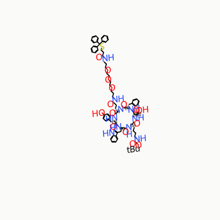 C[C@@H](O)[C@@H]1NC(=O)[C@H](CCCCNC(=O)OC(C)(C)C)NC(=O)[C@@H](Cc2c[nH]c3ccccc23)NC(=O)[C@H](Cc2ccc(O)cc2)NC(=O)[C@H](CCC(=O)NCCCOCCOCCOCCCNC(=O)CCSC(c2ccccc2)(c2ccccc2)c2ccccc2)N(C)C(=O)[C@H](Cc2ccccc2)NC1=O